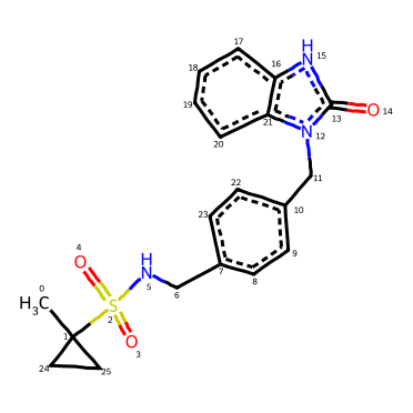 CC1(S(=O)(=O)NCc2ccc(Cn3c(=O)[nH]c4ccccc43)cc2)CC1